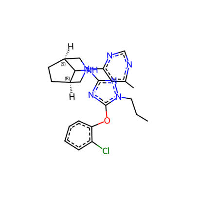 CCCn1nc(NC2[C@@H]3CC[C@H]2CN(c2cc(C)ncn2)C3)nc1Oc1ccccc1Cl